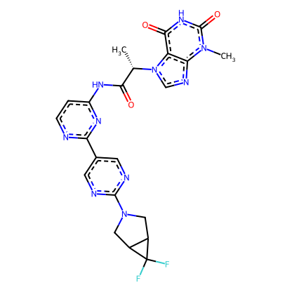 C[C@@H](C(=O)Nc1ccnc(-c2cnc(N3CC4C(C3)C4(F)F)nc2)n1)n1cnc2c1c(=O)[nH]c(=O)n2C